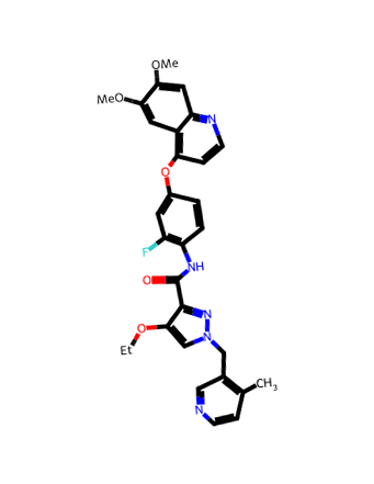 CCOc1cn(Cc2cnccc2C)nc1C(=O)Nc1ccc(Oc2ccnc3cc(OC)c(OC)cc23)cc1F